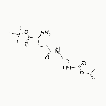 C=C(C)OC(=O)NCCNC(=O)CC[C@H](N)C(=O)OC(C)(C)C